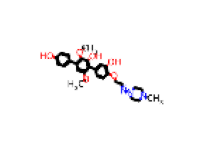 COc1cc(-c2ccc(O)cc2)c(OC)c(O)c1-c1ccc(OC/C=N/N2CCN(C)CC2)c(O)c1